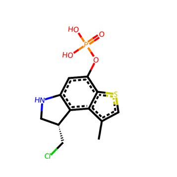 Cc1csc2c(OP(=O)(O)O)cc3c(c12)[C@H](CCl)CN3